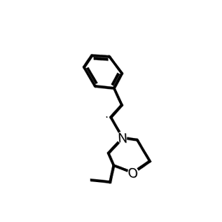 CCC1CN([CH]Cc2ccccc2)CCO1